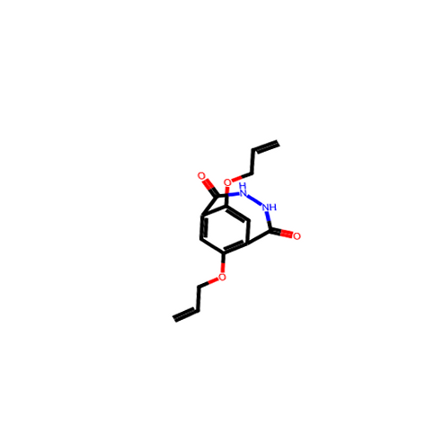 C=CCOc1cc2c(OCC=C)cc1C(=O)NNC2=O